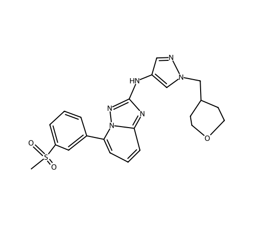 CS(=O)(=O)c1cccc(-c2cccc3nc(Nc4cnn(CC5CCOCC5)c4)nn23)c1